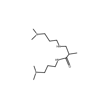 CC(CNCCCN(C)C)C(=O)NCCCN(C)C